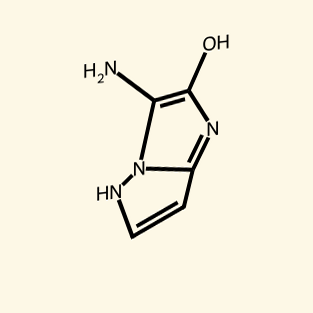 Nc1c(O)nc2cc[nH]n12